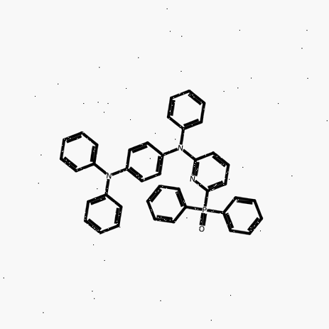 O=P(c1ccccc1)(c1ccccc1)c1cccc(N(c2ccccc2)c2ccc(N(c3ccccc3)c3ccccc3)cc2)n1